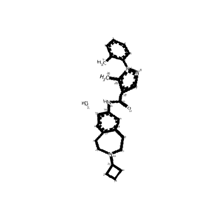 Cc1ccccc1-n1ncc(C(=O)Nc2ccc3c(c2)CCN(C2CCC2)CC3)c1C.Cl